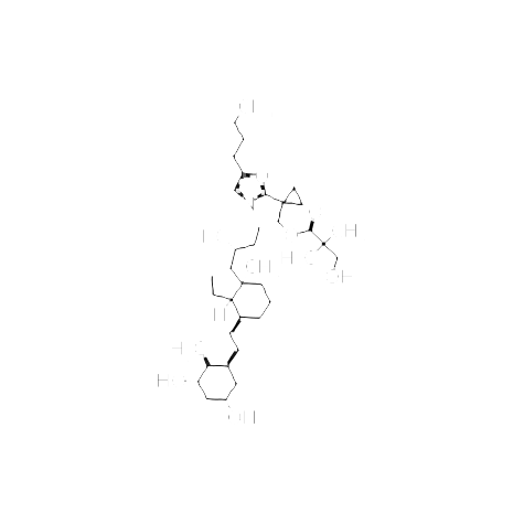 C=C1/C(=C\C=C2/CCC[C@]3(C)[C@@H]([C@H](C)CC[C@@H](OC(=O)C(C)(C)CO)C4(c5ncc(CCCC)o5)CC4)CC[C@@H]23)C[C@@H](O)C[C@@H]1O